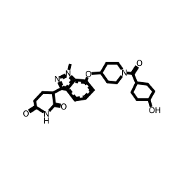 Cn1nc(C2CCC(=O)NC2=O)c2cccc(OC3CCN(C(=O)C4CCC(O)CC4)CC3)c21